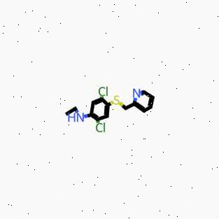 CCNc1cc(Cl)c(SCc2ccccn2)cc1Cl